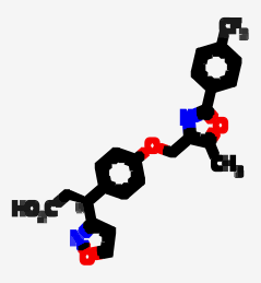 Cc1oc(-c2ccc(C(F)(F)F)cc2)nc1COc1ccc([C@H](CC(=O)O)c2ccon2)cc1